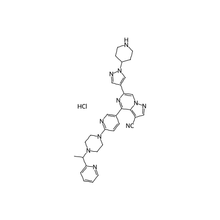 CC(c1ccccn1)N1CCN(c2ccc(-c3nc(-c4cnn(C5CCNCC5)c4)cn4ncc(C#N)c34)cn2)CC1.Cl